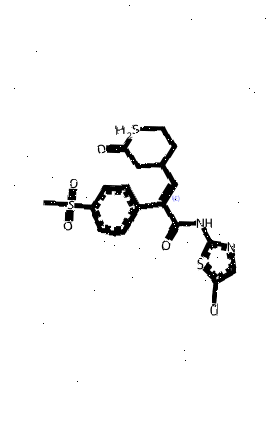 CS(=O)(=O)c1ccc(/C(=C\C2CC[SH2]C(=O)C2)C(=O)Nc2ncc(Cl)s2)cc1